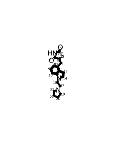 O=C1NC(=O)C(Cc2cccc3c2ccn3CCN2CCCC2)S1